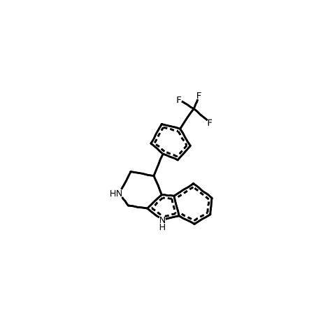 FC(F)(F)c1ccc(C2CNCc3[nH]c4ccccc4c32)cc1